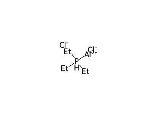 CC[PH]([Al+2])(CC)CC.[Cl-].[Cl-]